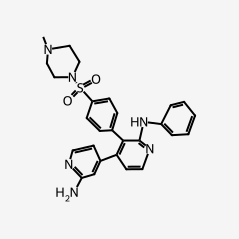 CN1CCN(S(=O)(=O)c2ccc(-c3c(-c4ccnc(N)c4)ccnc3Nc3ccccc3)cc2)CC1